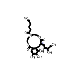 C#CCCCC(=O)N1CCOC(=O)/C(=C/C(O)=C(/O)C#C)Cc2c(cc(O)c(O)c2O)C(=O)OCC1